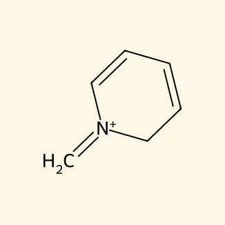 C=[N+]1C=CC=CC1